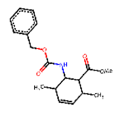 COC(=O)C1C(C)C=CC(C)C1NC(=O)OCc1ccccc1